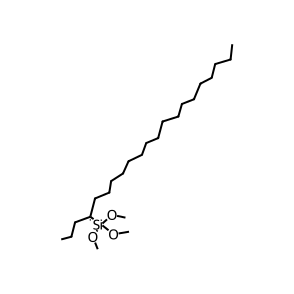 CCCCCCCCCCCCCCCCC[C](CCC)[Si](OC)(OC)OC